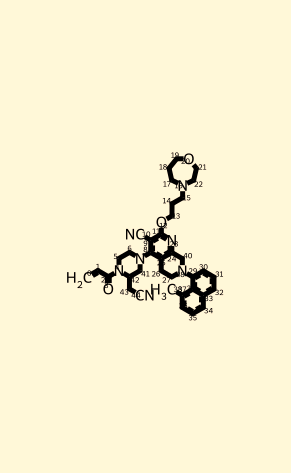 C=CC(=O)N1CCN(c2c(C#N)c(OCCCN3CCCOCC3)nc3c2CCN(c2cccc4cccc(C)c24)C3)CC1CC#N